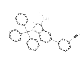 CNc1nn(C(c2ccccc2)(c2ccccc2)c2ccccc2)c2ccc(-c3cccc(C#N)c3)cc12